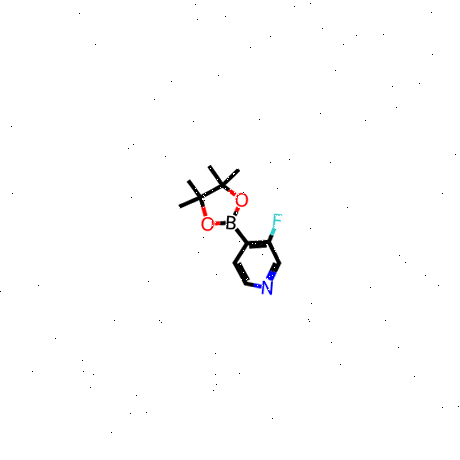 CC1(C)OB(c2ccncc2F)OC1(C)C